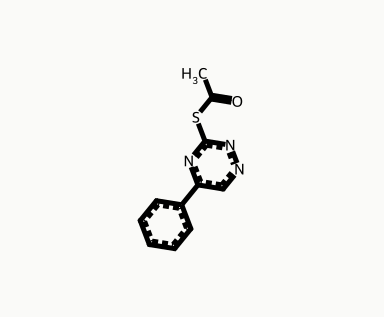 CC(=O)Sc1nncc(-c2ccccc2)n1